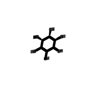 OC1C(O)[C@H](O)[C@H](O)[C@@H](O)C1O